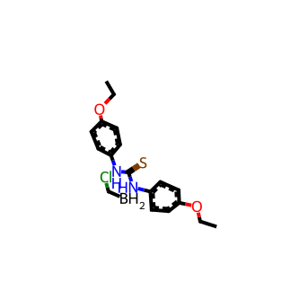 BCCl.CCOc1ccc(NC(=S)Nc2ccc(OCC)cc2)cc1